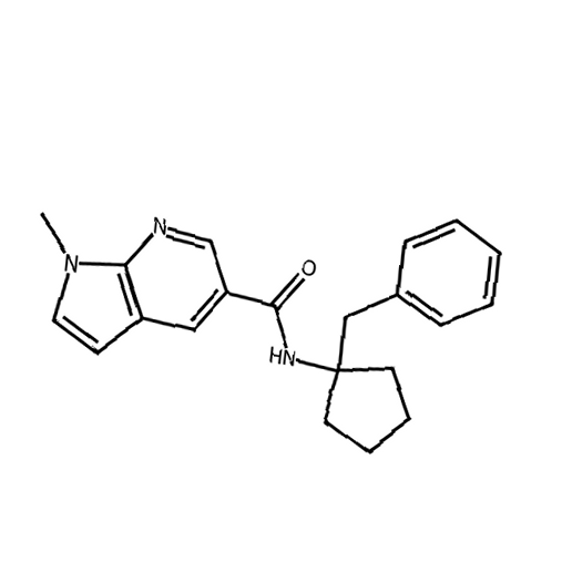 Cn1ccc2cc(C(=O)NC3(Cc4ccccc4)CCCC3)cnc21